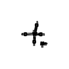 [Mn].[O]=[W](=[O])(=[O])=[O]